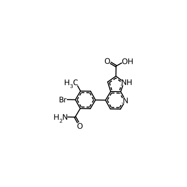 Cc1cc(-c2ccnc3[nH]c(C(=O)O)cc23)cc(C(N)=O)c1Br